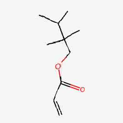 C=CC(=O)OCC(C)(C)C(C)C